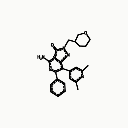 Cc1cc(-c2c(-c3ccccc3)nc(N)n3c(=O)n(CC4CCCOC4)nc23)cc(C)n1